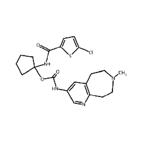 CN1CCc2cc(NC(=O)OC3(NC(=O)c4ccc(Cl)s4)CCCC3)cnc2CC1